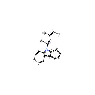 CC/C=C(C)\C=C(/CC)n1c2c(c3ccccc31)C=CCC=C2